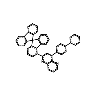 c1ccc(-c2ccc(-c3cc(-c4cccc5c4-c4ccccc4C54c5ccccc5-c5ccccc54)nc4cccnc34)cc2)cc1